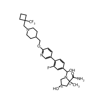 C[C@@]1(C(N)=O)C[C@@H](O)CN1C(O)c1ccc(-c2ccc(OCC3CCN(CC4(C(F)(F)F)CCC4)CC3)nc2)c(F)c1